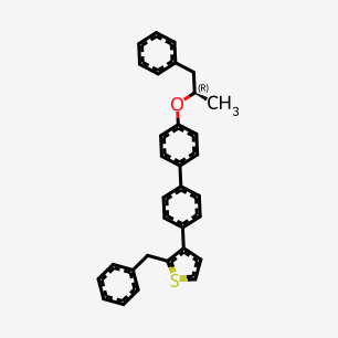 C[C@H](Cc1ccccc1)Oc1ccc(-c2ccc(-c3ccsc3Cc3ccccc3)cc2)cc1